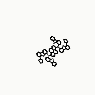 c1ccc2c(c1)oc1c(N(c3ccc4ccc5c(N(c6cccc7c6oc6ccccc67)c6cccc7c6oc6c(C8CCCC8)cccc67)ccc6ccc3c4c65)c3cccc4c3oc3c(C5CCCC5)cccc34)cccc12